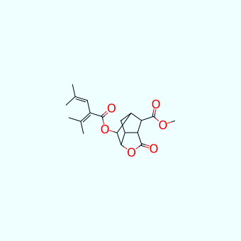 COC(=O)C1C2CC3C(OC(=O)C31)C2OC(=O)C(C=C(C)C)=C(C)C